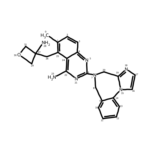 Cc1ccc2nc(N3Cc4ccccc4-n4ccnc4C3)nc(N)c2c1CC1(N)COC1